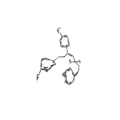 Fc1ccc(CC/C(=C\C(F)(F)Cc2ccccc2)c2ccc(F)cc2)cc1